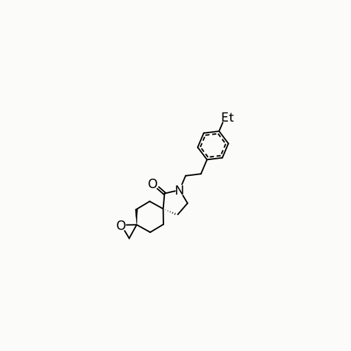 CCc1ccc(CCN2CC[C@]3(CC[C@@]4(CC3)CO4)C2=O)cc1